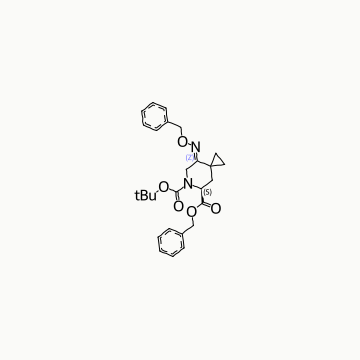 CC(C)(C)OC(=O)N1C/C(=N\OCc2ccccc2)C2(CC2)C[C@H]1C(=O)OCc1ccccc1